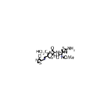 CO/N=C(/C(=O)NC1C(=O)N2C(C(=O)O)=C(/C=C/c3scnc3Cl)CS[C@H]12)c1csc(N)n1